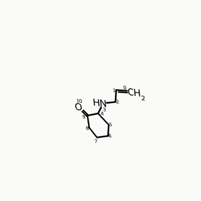 C=CCNC1CCCCC1=O